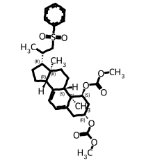 COC(=O)O[C@@H]1CC2=CC=C3[C@@H]4CC[C@H](C(C)CS(=O)(=O)c5ccccc5)[C@@]4(C)CC[C@@H]3[C@@]2(C)[C@@H](OC(=O)OC)C1